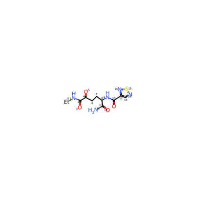 CCNC(=O)C(=O)CCC(NC(=O)c1cnsn1)C(N)=O